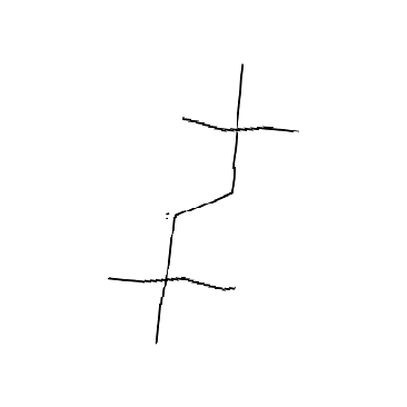 CC(C)(C)[C]CC(C)(C)C